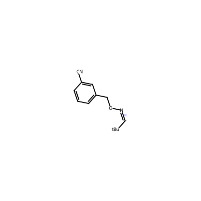 CC(C)(C)/[C]=N\OCc1cccc(C#N)c1